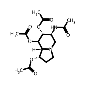 CC(=O)N[C@H]1CN2CC[C@H](OC(C)=O)[C@@H]2[C@@H](OC(C)=O)[C@@H]1OC(C)=O